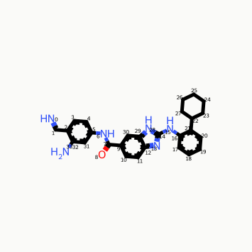 N=Cc1ccc(NC(=O)c2ccc3nc(Nc4ccccc4C4CCCCC4)[nH]c3c2)cc1N